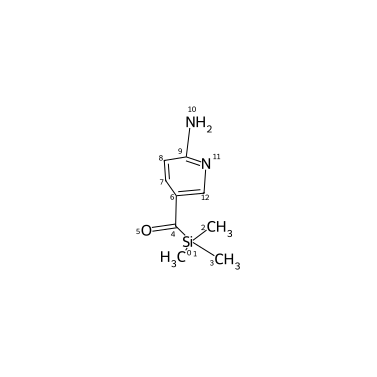 C[Si](C)(C)C(=O)c1ccc(N)nc1